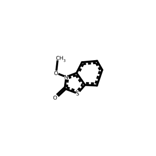 COn1c(=O)sc2ccccc21